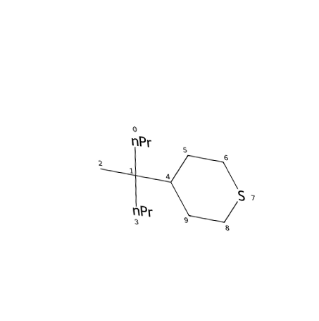 CCCC(C)(CCC)C1CCSCC1